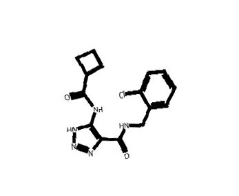 O=C(NCc1ccccc1Cl)c1nn[nH]c1NC(=O)C1CCC1